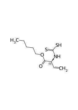 C=C[C@H](NC(=S)S)C(=O)OCCCCC